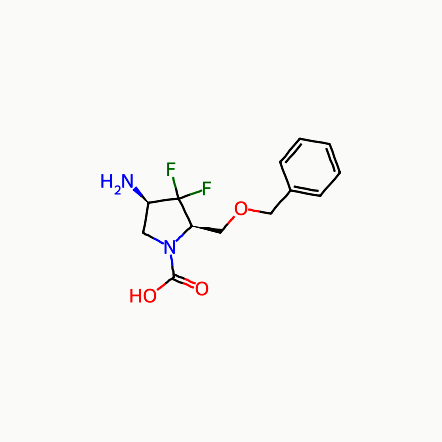 N[C@@H]1CN(C(=O)O)[C@H](COCc2ccccc2)C1(F)F